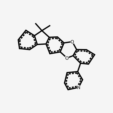 CC1(C)c2ccccc2-c2cc3c(cc21)Oc1cccc(-c2cccnc2)c1O3